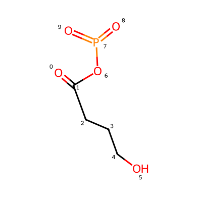 O=C(CCCO)OP(=O)=O